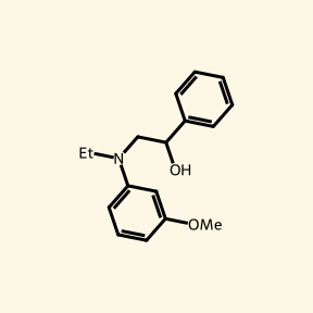 CCN(CC(O)c1ccccc1)c1cccc(OC)c1